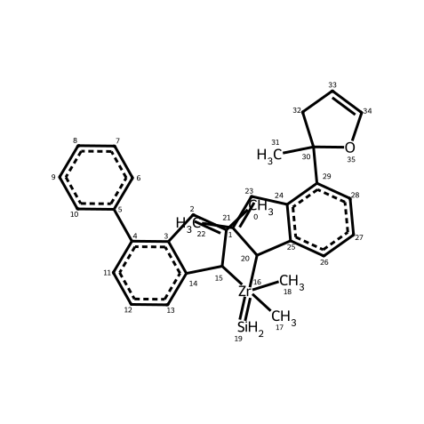 CC1=Cc2c(-c3ccccc3)cccc2[CH]1[Zr]([CH3])([CH3])(=[SiH2])[CH]1C(C)=Cc2c1cccc2C1(C)CC=CO1